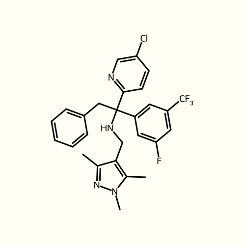 Cc1nn(C)c(C)c1CNC(Cc1ccccc1)(c1cc(F)cc(C(F)(F)F)c1)c1ccc(Cl)cn1